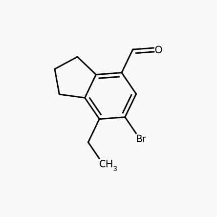 CCc1c(Br)cc(C=O)c2c1CCC2